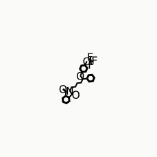 O=C1c2ccccc2C(=O)N1CCCCC(Oc1ccc(OC(F)(F)F)cc1)c1ccccc1